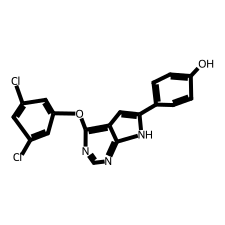 Oc1ccc(-c2cc3c(Oc4cc(Cl)cc(Cl)c4)ncnc3[nH]2)cc1